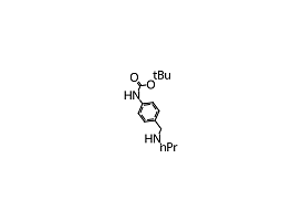 CCCNCc1ccc(NC(=O)OC(C)(C)C)cc1